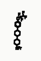 CCCC1CCC(C2CCC(c3ccc(OC(F)(F)C(F)F)cc3)CC2)CC1